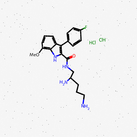 COc1cccc2c(-c3ccc(F)cc3)c(C(=O)NCC(N)CCCN)[nH]c12.Cl.Cl